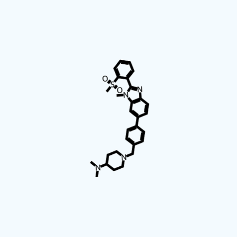 CN(C)C1CCN(Cc2ccc(-c3ccc4nc(-c5ccccc5S(C)(=O)=O)n(C)c4c3)cc2)CC1